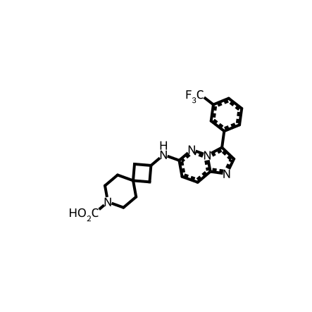 O=C(O)N1CCC2(CC1)CC(Nc1ccc3ncc(-c4cccc(C(F)(F)F)c4)n3n1)C2